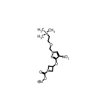 CC(C)(C)OC(=O)N1CC(Oc2nn(COCC[Si](C)(C)C)cc2[N+](=O)[O-])C1